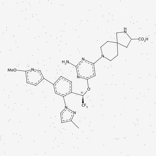 COc1ccc(-c2ccc([C@@H](Oc3cc(N4CCC5(CC4)CNC(C(=O)O)C5)nc(N)n3)C(F)(F)F)c(-n3ccc(C)n3)c2)cn1